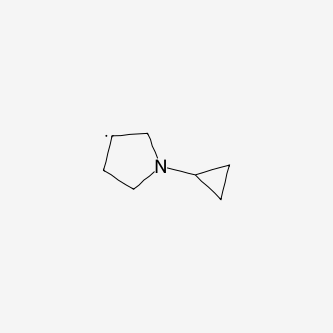 [CH]1CCN(C2CC2)C1